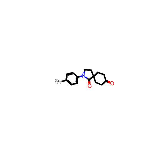 CC(C)c1ccc(N2CCC3(CCC(=O)CC3)C2=O)cc1